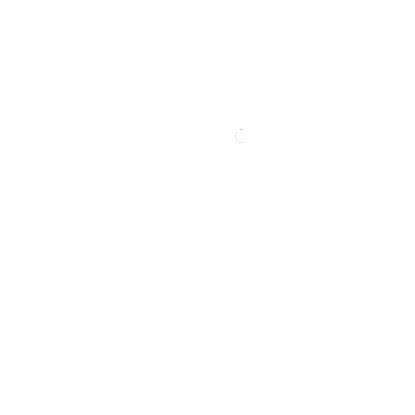 C(=CCc1ccccc1)=Cc1ccccc1